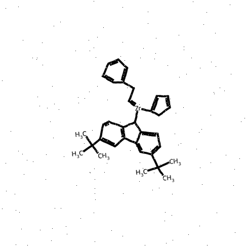 CC(C)(C)c1ccc2c(c1)-c1cc(C(C)(C)C)ccc1[CH]2[Zr](=[CH]Cc1ccccc1)[C]1=CC=CC1